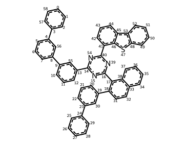 c1ccc(-c2cccc(-c3cccc(-c4nc(-c5c(-c6cccc(-c7ccccc7)c6)ccc6ccccc56)nc(-c5cccc6c5sc5ccccc56)n4)c3)c2)cc1